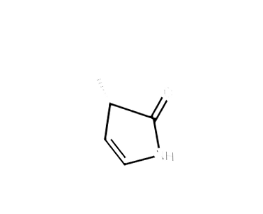 C[C@H]1C=CNC1=O